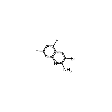 Cc1cc(F)c2cc(Br)c(N)nc2c1